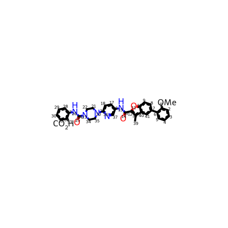 COc1ccccc1-c1ccc2oc(C(=O)Nc3ccc(N4CCN(C(=O)Nc5ccccc5C(=O)O)CC4)nc3)c(C)c2c1